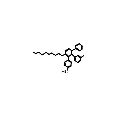 CCCCCCCCCCc1ccc(-c2ccccc2)c(-c2cccc(C)c2)c1-c1ccc(O)cc1